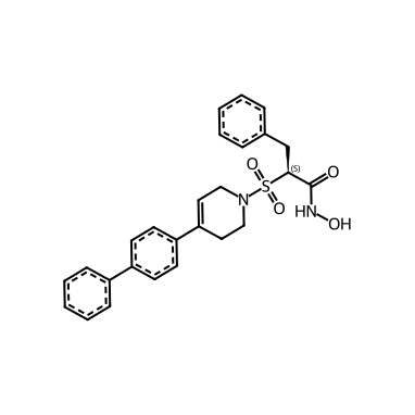 O=C(NO)[C@H](Cc1ccccc1)S(=O)(=O)N1CC=C(c2ccc(-c3ccccc3)cc2)CC1